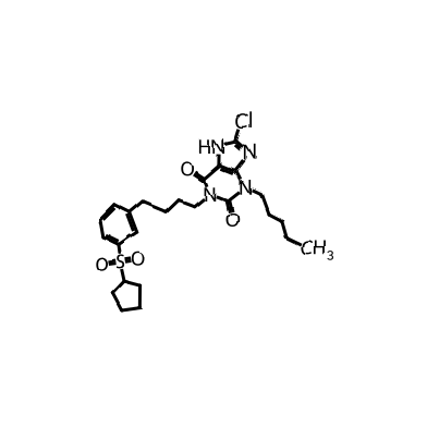 CCCCCn1c(=O)n(CCCCc2cccc(S(=O)(=O)C3CCCC3)c2)c(=O)c2[nH]c(Cl)nc21